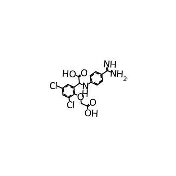 N=C(N)c1ccc(NC(C(=O)O)c2cc(Cl)cc(Cl)c2OCC(=O)O)cc1